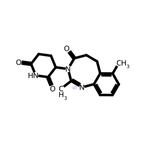 C/C1=N/c2cccc(C)c2CCC(=O)N1C1CCC(=O)NC1=O